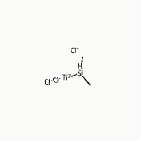 C[SiH](C)[Ti+3].[Cl-].[Cl-].[Cl-]